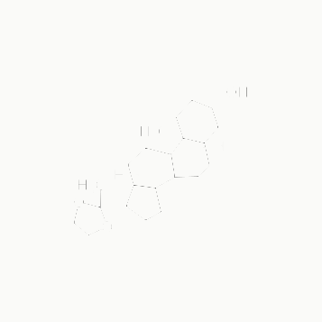 CC1([C@H]2CCC3C4CC[C@@H]5C[C@@H](O)CC[C@]5(C)C4CC[C@@H]32)OCCO1